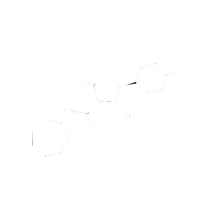 C[C@H]1[C@H](c2ccc(Cl)cc2)SC(=O)N1C(=O)NC1CCCCCC1